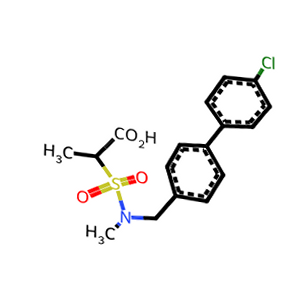 CC(C(=O)O)S(=O)(=O)N(C)Cc1ccc(-c2ccc(Cl)cc2)cc1